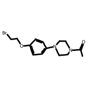 CC(=O)N1CCN(c2ccc(OCCBr)cc2)CC1